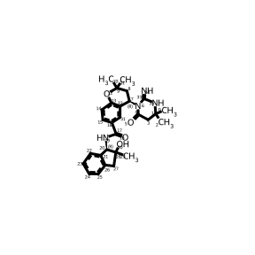 CC1(C)CC(=O)N([C@@H]2CC(C)(C)Oc3ccc(C(=O)N[C@@H]4c5ccccc5CC4(C)O)cc32)C(=N)N1